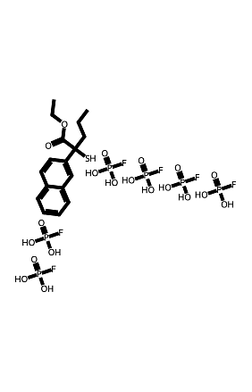 CCCC(S)(C(=O)OCC)c1ccc2ccccc2c1.O=P(O)(O)F.O=P(O)(O)F.O=P(O)(O)F.O=P(O)(O)F.O=P(O)(O)F.O=P(O)(O)F